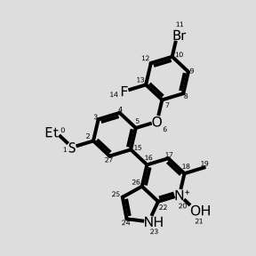 CCSc1ccc(Oc2ccc(Br)cc2F)c(-c2cc(C)[n+](O)c3[nH]ccc23)c1